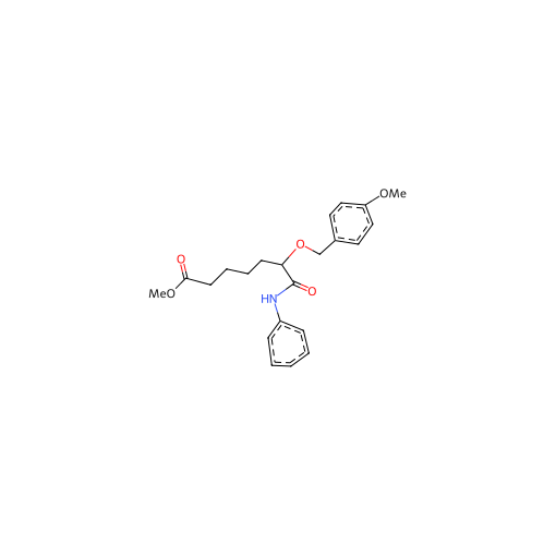 COC(=O)CCCCC(OCc1ccc(OC)cc1)C(=O)Nc1ccccc1